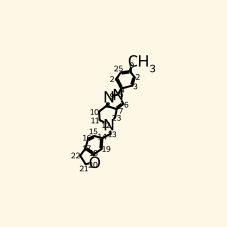 Cc1ccc(-n2cc3c(n2)CCN(Cc2ccc4c(c2)OCC4)C3)cc1